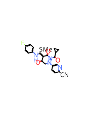 CSC(Nc1ccc(F)cc1)=C1C(=O)CN(c2ccc(C#N)nc2)N(C(=O)C2CC2)C1=O